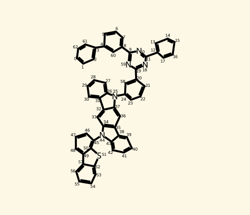 c1ccc(-c2cccc(-c3nc(-c4ccccc4)nc(-c4cccc(-n5c6ccccc6c6cc7c(cc65)c5ccccc5n7-c5cccc6c5sc5ccccc56)c4)n3)c2)cc1